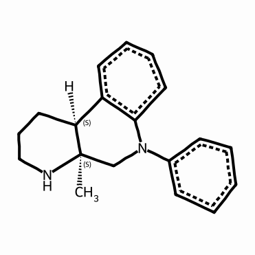 C[C@@]12CN(c3ccccc3)c3ccccc3[C@@H]1CCCN2